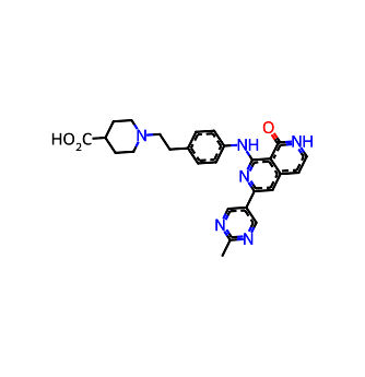 Cc1ncc(-c2cc3cc[nH]c(=O)c3c(Nc3ccc(CCN4CCC(C(=O)O)CC4)cc3)n2)cn1